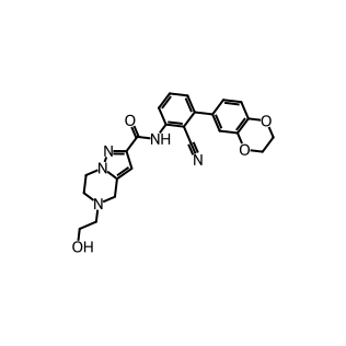 N#Cc1c(NC(=O)c2cc3n(n2)CCN(CCO)C3)cccc1-c1ccc2c(c1)OCCO2